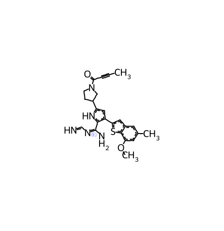 CC#CC(=O)N1CCC(c2cc(-c3cc4cc(C)cc(OC)c4s3)c(/C(N)=N\C=N)[nH]2)C1